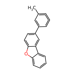 CC1=C=C=CC(c2ccc3oc4ccccc4c3c2)=C1